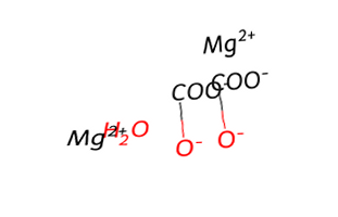 O.O=C([O-])[O-].O=C([O-])[O-].[Mg+2].[Mg+2]